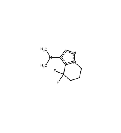 CN(C)c1cnn2c1C(F)(F)CCC2